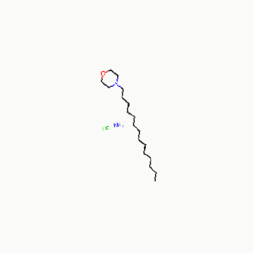 CCCCCCCCCCCCCCN1CCOCC1.Cl.N